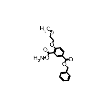 COCCOc1ccc(C(=O)OCc2ccccc2)cc1C(=O)ON